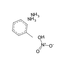 Cc1ccccc1.N.N.O=[N+]([O-])O